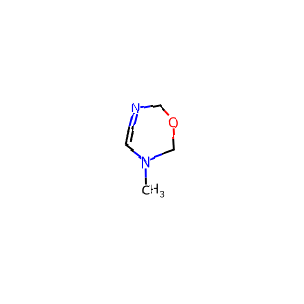 CN1C=NCOC1